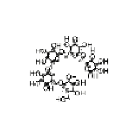 OC[C@H]1O[C@H](OC[C@H]2C[C@H](OC[C@H]3O[C@H](OC[C@H]4O[C@H](OC[C@H]5O[C@H](O)[C@H](O)[C@@H](O)[C@@H]5O)[C@H](O)[C@@H](O)[C@@H]4O)[C@H](O)[C@@H](O)[C@@H]3O)[C@H](O)[C@@H](O)[C@@H]2O)[C@H](O)[C@@H](O)[C@@H]1O